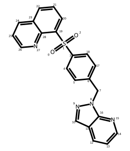 O=S(=O)(c1ccc(Cn2ncc3cccnc32)cc1)c1cccc2cccnc12